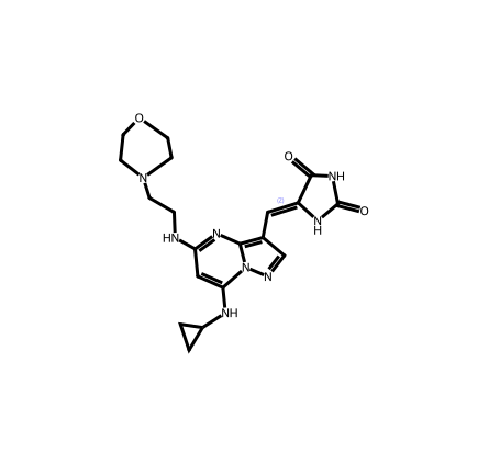 O=C1NC(=O)/C(=C/c2cnn3c(NC4CC4)cc(NCCN4CCOCC4)nc23)N1